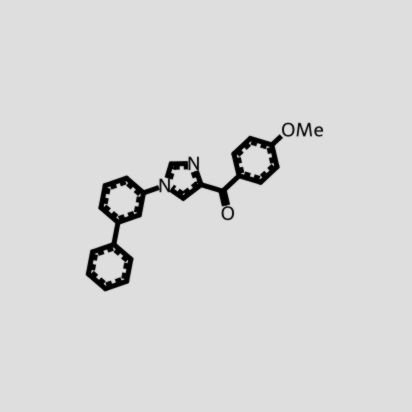 COc1ccc(C(=O)c2cn(-c3cccc(-c4ccccc4)c3)cn2)cc1